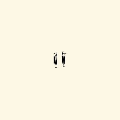 [O]=[Fe].[O]=[Ni]